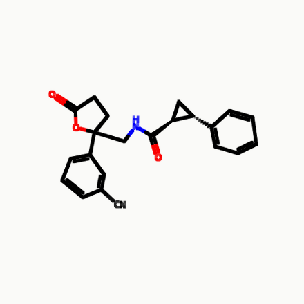 N#Cc1cccc(C2(CNC(=O)[C@H]3C[C@@H]3c3ccccc3)CCC(=O)O2)c1